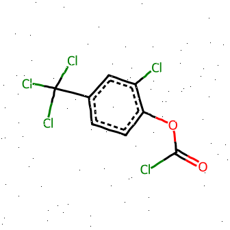 O=C(Cl)Oc1ccc(C(Cl)(Cl)Cl)cc1Cl